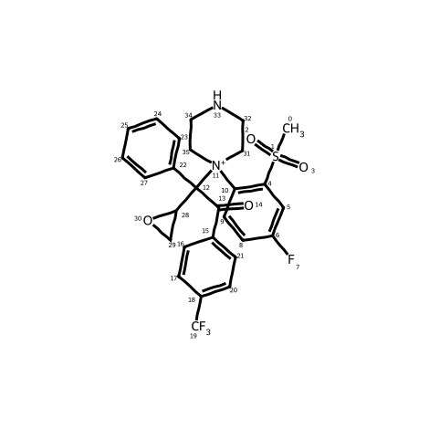 CS(=O)(=O)c1cc(F)ccc1[N+]1(C(C(=O)c2ccc(C(F)(F)F)cc2)(c2ccccc2)C2CO2)CCNCC1